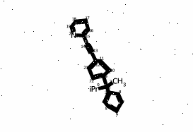 CC(C)C(C)(c1cc[c]cc1)c1ccc(C#Cc2ccccn2)cc1